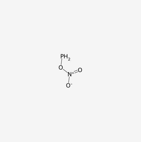 O=[N+]([O-])OP